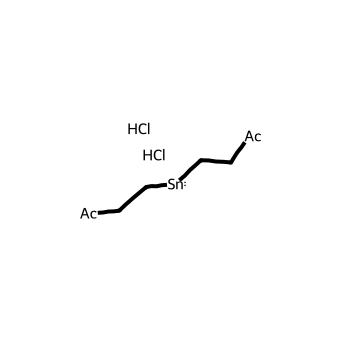 CC(=O)C[CH2][Sn][CH2]CC(C)=O.Cl.Cl